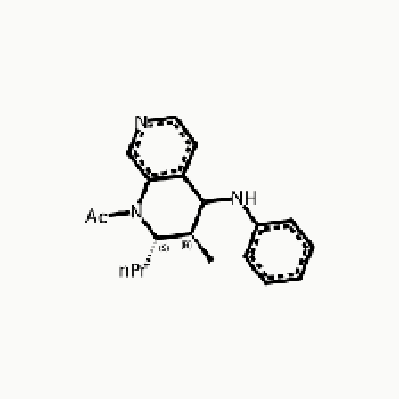 CCC[C@H]1[C@H](C)C(Nc2ccccc2)c2ccncc2N1C(C)=O